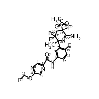 C[C@]1(c2cc(NC(=O)c3cnc(OCF)cn3)ccc2F)N=C(N)[C@@](I)(S(C)(=O)=O)CC1(F)F